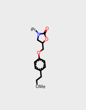 COCCc1ccc(OCC2CN(C(C)C)C(=O)O2)cc1